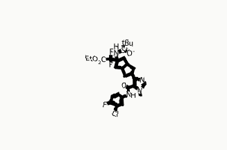 CCOC(=O)C(F)(F)C1(N[S+]([O-])C(C)(C)C)CC2CC(c3ncn(C)c3C(=O)Nc3ccc(F)c(Cl)c3)CC2C1